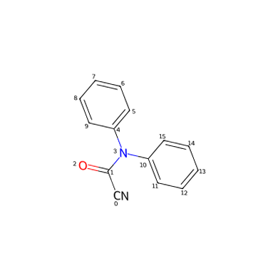 N#CC(=O)N(c1ccccc1)c1ccccc1